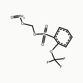 O=[PH2]OCOS(=O)(=O)c1ccccc1OC(F)(F)F